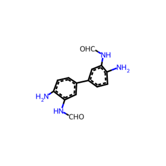 Nc1ccc(-c2ccc(N)c(NC=O)c2)cc1NC=O